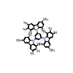 [2H]c1cc2c3cc(C(C)(C)C)cc([2H])c3n(-c3cc(-n4c5c([2H])cc(C(C)(C)C)cc5c5cc([2H])c([2H])c([2H])c54)cc(-n4c5c([2H])cc(C(C)(C)C)cc5c5cc([2H])c([2H])c([2H])c54)c3)c2c([2H])c1[2H]